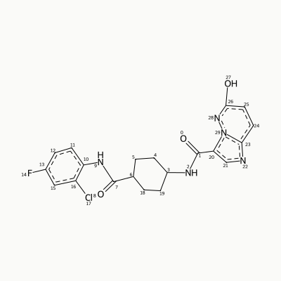 O=C(NC1CCC(C(=O)Nc2ccc(F)cc2Cl)CC1)c1cnc2ccc(O)nn12